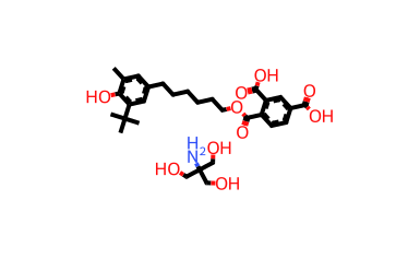 Cc1cc(CCCCCCOC(=O)c2ccc(C(=O)O)cc2C(=O)O)cc(C(C)(C)C)c1O.NC(CO)(CO)CO